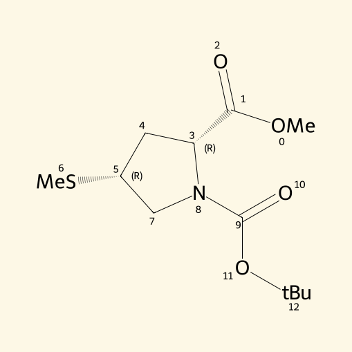 COC(=O)[C@H]1C[C@@H](SC)CN1C(=O)OC(C)(C)C